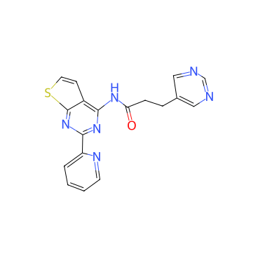 O=C(CCc1cncnc1)Nc1nc(-c2ccccn2)nc2sccc12